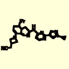 CC(C)C1=CC=C(N2CC(CC#N)C2)C2=CN=C(Nc3ccnc(-c4cnn(C5CC5)c4)n3)CC21